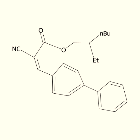 CCCCC(CC)COC(=O)C(C#N)=Cc1ccc(-c2ccccc2)cc1